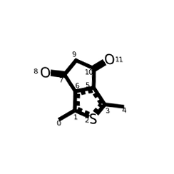 Cc1sc(C)c2c1C(=O)CC2=O